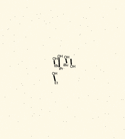 CC(C)(C)O.CC(C)O.CCC(C)O.CCO.CO